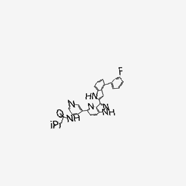 CC(C)C(=O)Nc1cncc(-c2ccc3[nH]nc(-c4cc5c(-c6cccc(F)c6)cccc5[nH]4)c3n2)c1